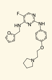 Fc1cnc(Nc2ccc(OCCN3CCCC3)cc2)nc1NCc1ccco1